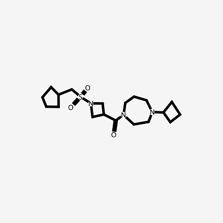 O=C(C1CN(S(=O)(=O)CC2CCCC2)C1)N1CCCN(C2CCC2)CC1